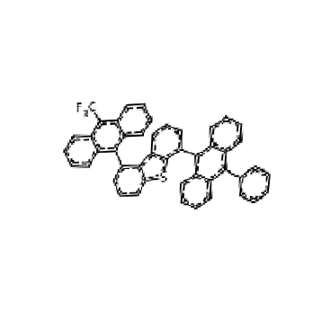 FC(F)(F)c1c2ccccc2c(-c2cccc3sc4c(-c5c6ccccc6c(-c6ccccc6)c6ccccc56)cccc4c23)c2ccccc12